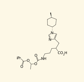 CC(OC(=O)NCCCC(Cc1cn([C@H]2CC[C@H](C)CC2)cn1)C(=O)O)OC(=O)C(C)C